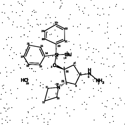 CC(C)(C)[Si](O[C@H]1CC(NN)C[C@@H]1N1CCC1)(c1ccccc1)c1ccccc1.Cl